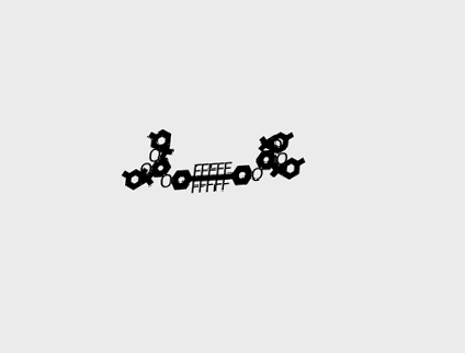 CC1CCC2C(C)(C)C2(Oc2ccc(Oc3ccc(C(F)(F)C(F)(F)C(F)(F)C(F)(F)C(F)(F)c4ccc(Oc5ccc(OC67CC(C)CCC6C7(C)C)c(OC67CC(C)CCC6C7(C)C)c5)cc4)cc3)cc2OC23CC(C)CCC2C3(C)C)C1